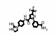 N=C1NCCN1c1ccc(NC(=O)c2cc(C(F)(F)F)nn2-c2cccc(C(N)=O)c2)cc1